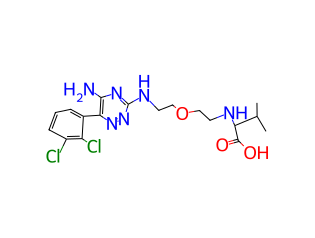 CC(C)C(NCCOCCNc1nnc(-c2cccc(Cl)c2Cl)c(N)n1)C(=O)O